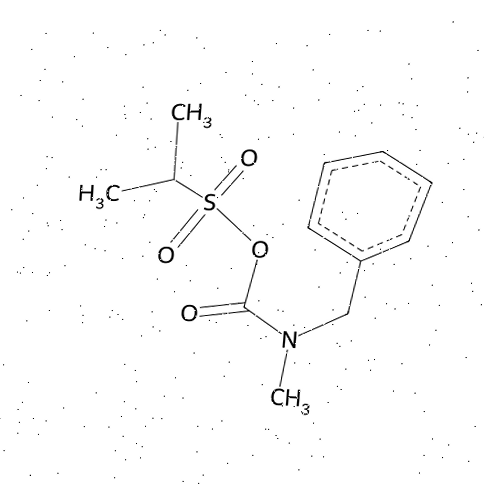 CC(C)S(=O)(=O)OC(=O)N(C)Cc1ccccc1